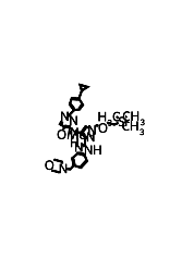 COc1cnc(-c2ccc(C3CC3)cc2)nc1Nc1cn(COCC[Si](C)(C)C)nc1-c1nc2cc(CN3CCOCC3)ccc2[nH]1